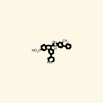 CC1=C(c2ccccc2)C=CC(Cl)(NC(=O)C(Cc2ccc(C(=O)O)cc2)c2ccc(C3=CCNCC3)cc2)C1